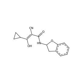 N#CC(C(=O)NC1Cc2ccccc2O1)=C(O)C1CC1